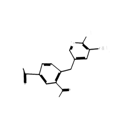 Nc1cc(Cc2ccc(C(=O)O)cc2C(=O)O)cnc1Cl